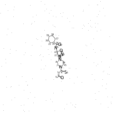 CC(=O)CC(=S)N1CCN([n+]2cc([N-]C(=O)C3CCCCC3)on2)CC1